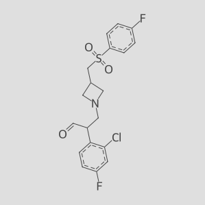 O=CC(CN1CC(CS(=O)(=O)c2ccc(F)cc2)C1)c1ccc(F)cc1Cl